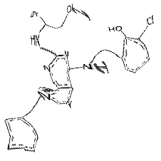 CC(C)C(CO)Nc1nc(NCc2cccc(Cl)c2O)c2ncn(Cc3ccccc3)c2n1